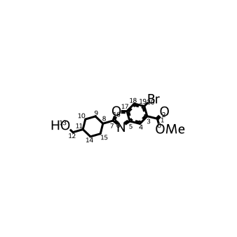 COC(=O)c1cc2nc(C3CCC(CO)CC3)oc2cc1Br